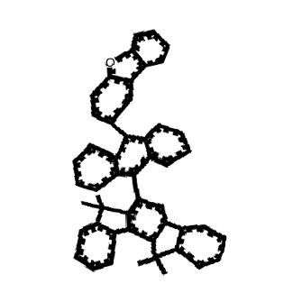 CC1(C)c2ccccc2-c2cc(-c3c4ccccc4c(-c4ccc5oc6ccccc6c5c4)c4ccccc34)c3c(c21)-c1ccccc1C3(C)C